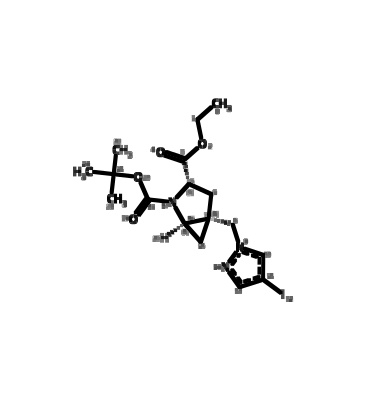 CCOC(=O)[C@@H]1C[C@@]2(Cn3cc(I)cn3)C[C@H]2N1C(=O)OC(C)(C)C